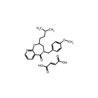 COc1ccc(CN2CC(CCN(C)C)Oc3ncccc3C2=O)cc1.O=C(O)/C=C/C(=O)O